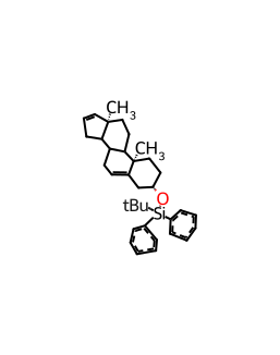 CC(C)(C)[Si](O[C@H]1CC[C@@]2(C)C(=CCC3C4CC=C[C@@]4(C)CCC32)C1)(c1ccccc1)c1ccccc1